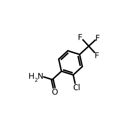 NC(=O)c1ccc(C(F)(F)F)cc1Cl